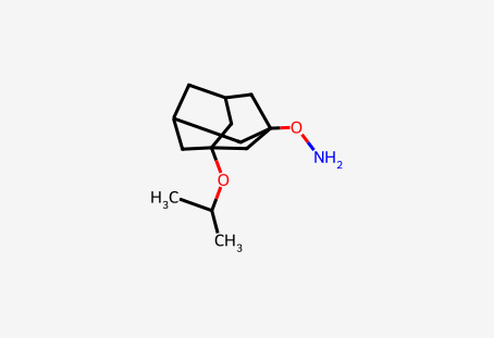 CC(C)OC12CC3CC(CC(ON)(C3)C1)C2